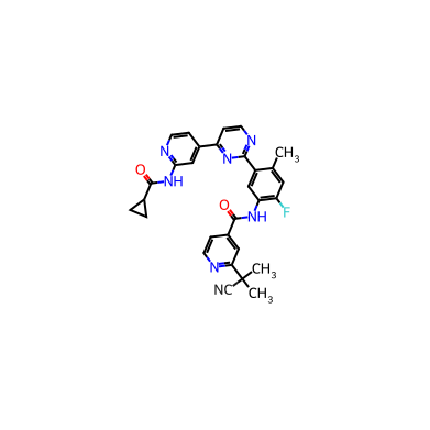 Cc1cc(F)c(NC(=O)c2ccnc(C(C)(C)C#N)c2)cc1-c1nccc(-c2ccnc(NC(=O)C3CC3)c2)n1